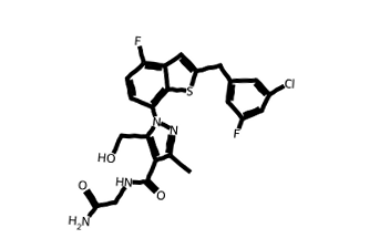 Cc1nn(-c2ccc(F)c3cc(Cc4cc(F)cc(Cl)c4)sc23)c(CO)c1C(=O)NCC(N)=O